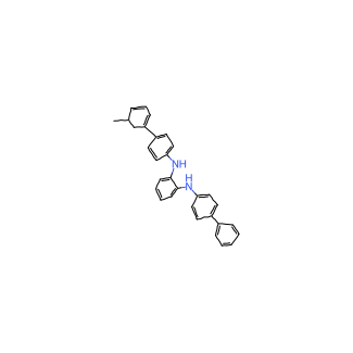 CC1C=CC=C(c2ccc(Nc3ccccc3Nc3ccc(-c4ccccc4)cc3)cc2)C1